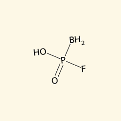 BP(=O)(O)F